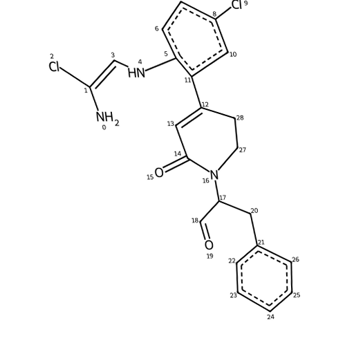 N/C(Cl)=C\Nc1ccc(Cl)cc1C1=CC(=O)N(C(C=O)Cc2ccccc2)CC1